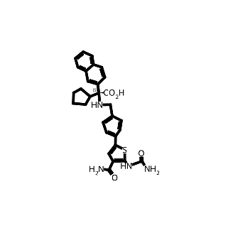 NC(=O)Nc1sc(-c2ccc(CN[C@](C(=O)O)(c3ccc4ccccc4c3)C3CCCC3)cc2)cc1C(N)=O